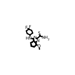 COc1cccc2c(NC3CCC(F)(F)CC3)nc(C(N)=S)nc12